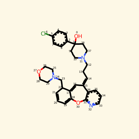 OC1(c2ccc(Cl)cc2)CCN(CCC=C2C=C3C(=CC=CC3CN3CCOCC3)Oc3ncccc32)CC1